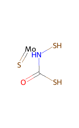 O=C(S)NS.[S]=[Mo]